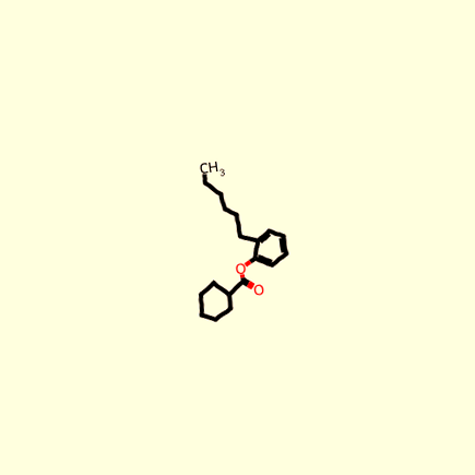 CCCCCCc1ccccc1OC(=O)C1CCCCC1